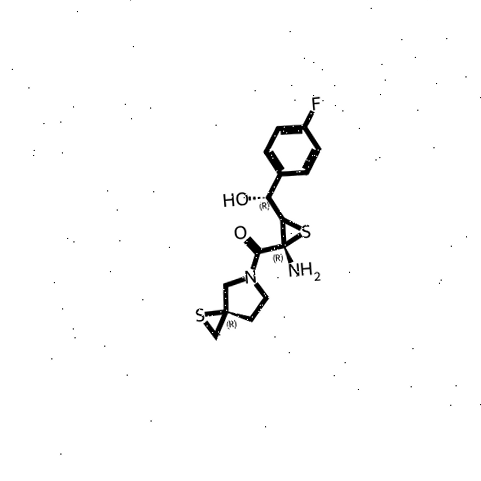 N[C@]1(C(=O)N2CC[C@]3(CS3)C2)SC1[C@H](O)c1ccc(F)cc1